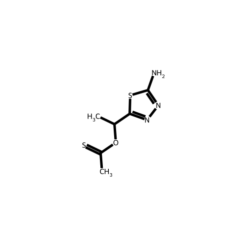 CC(=S)OC(C)c1nnc(N)s1